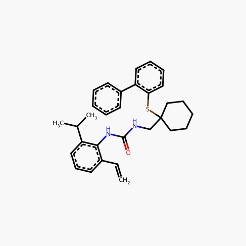 C=Cc1cccc(C(C)C)c1NC(=O)NCC1(Sc2ccccc2-c2ccccc2)CCCCC1